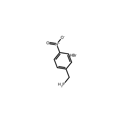 Br.O=[N+]([O-])c1ccc(CP)cc1